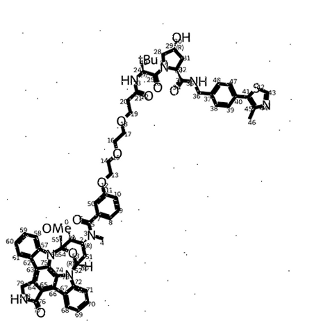 CO[C@@H]1[C@H](N(C)C(=O)c2cccc(OCCOCCOCCC(=O)N[C@H](C(=O)N3C[C@H](O)C[C@H]3C(=O)NCc3ccc(-c4scnc4C)cc3)C(C)(C)C)c2)C[C@H]2O[C@]1(C)n1c3ccccc3c3c4c(c5c6ccccc6n2c5c31)C(=O)NC4